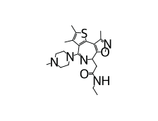 CCNC(=O)CC1N=C(N2CCN(C)CC2)c2c(sc(C)c2C)-c2c(C)noc21